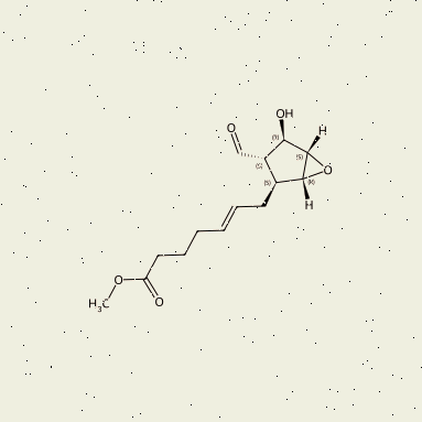 COC(=O)CCCC=CC[C@H]1[C@H](C=O)[C@@H](O)[C@@H]2O[C@H]12